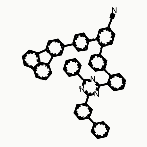 N#Cc1ccc(-c2cccc(-c3ccccc3-c3nc(-c4ccccc4)nc(-c4cccc(-c5ccccc5)c4)n3)c2)c(-c2ccc(-c3ccc4c(c3)-c3cccc5cccc-4c35)cc2)c1